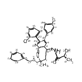 C[C@H](O)C(=O)NC1CC(C)(COCc2ccccc2)Oc2nc(-c3ccccc3Cl)c(-c3ccc(Cl)cc3)cc21